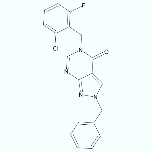 O=c1c2cn(Cc3ccccc3)nc2ncn1Cc1c(F)cccc1Cl